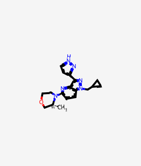 C[C@@H]1COCCN1c1ccc2c(n1)c(-c1cc[nH]n1)nn2CC1CC1